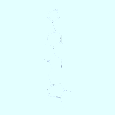 O=C1N(Cc2ccc(F)c(F)c2)CCN1c1ccc(-c2cn[nH]c2)cn1